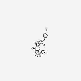 Cn1nc(C(=O)NCc2ccc(C#N)cc2)c2c1C(=O)N(CC1(S(=O)(=O)[C@@H]3CCOC3)CC1)CC2